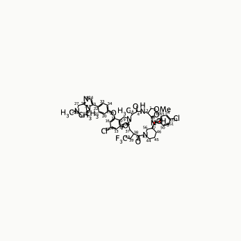 COCC1NC(=O)C(C)N(Cc2c(F)cc(Cl)cc2Oc2ccc(-c3cnc(CN(C)C)n3C)cc2)C(=O)CC(CC(F)(F)F)C(=O)N2CCCC(Cc3ccc(Cl)cc3)(C2)N(C)C1=O